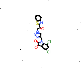 O=C(Cn1cc(CN2C(=O)C(=O)c3cc(Cl)cc(Cl)c32)nn1)c1nc2ccccc2s1